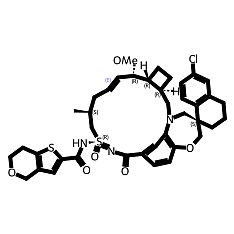 CO[C@H]1/C=C/C[C@H](C)C[S@@](=O)(NC(=O)c2cc3c(s2)CCOC3)=NC(=O)c2ccc3c(c2)N(C[C@@H]2CC[C@H]21)C[C@@]1(CCCc2cc(Cl)ccc21)CO3